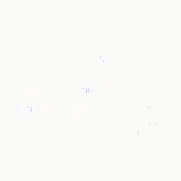 CC(C)(C)c1ccc(C(=O)Nc2cccc(S(N)(=O)=O)c2)c(Oc2ccccc2N2CCCCC2)c1